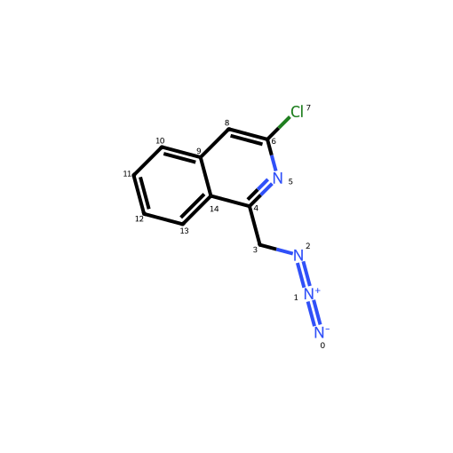 [N-]=[N+]=NCc1nc(Cl)cc2ccccc12